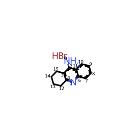 Br.Nc1c2c(nc3ccccc13)CCCC2